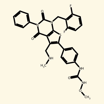 CNCc1c(-c2ccc(NC(=O)NOC)cc2)sc2c1c(=O)n(-c1ccccc1)c(=O)n2Cc1c(F)cccc1F